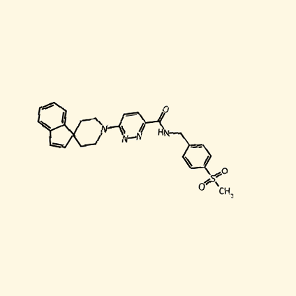 CS(=O)(=O)c1ccc(CNC(=O)c2ccc(N3CCC4(C=Cc5ccccc54)CC3)nn2)cc1